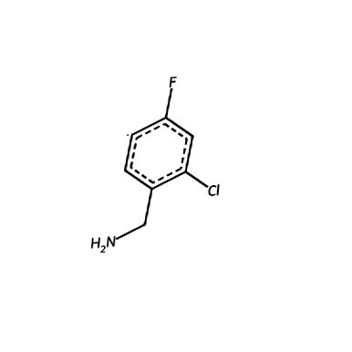 NCc1c[c]c(F)cc1Cl